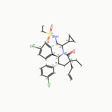 C=CC[C@@]1(CC)C[C@H](c2cccc(Cl)c2)[C@@H](c2ccc(Cl)cc2)N(C(CNS(=O)(=O)CC)C2CC2)C1=O